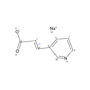 O=C([O-])/C=C/c1cccnc1.[Na+]